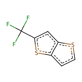 FC(F)(F)c1cc2sccc2s1